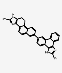 CC(C)c1nc2c([nH]1)COc1c-2ccc2cc(-c3ccc4c(c3)c3ccccc3c3nc(C(C)C)[nH]c43)ccc12